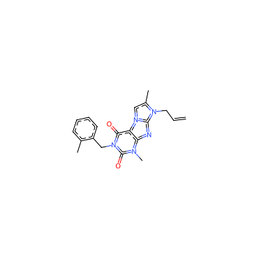 C=CCn1c(C)cn2c3c(=O)n(Cc4ccccc4C)c(=O)n(C)c3nc12